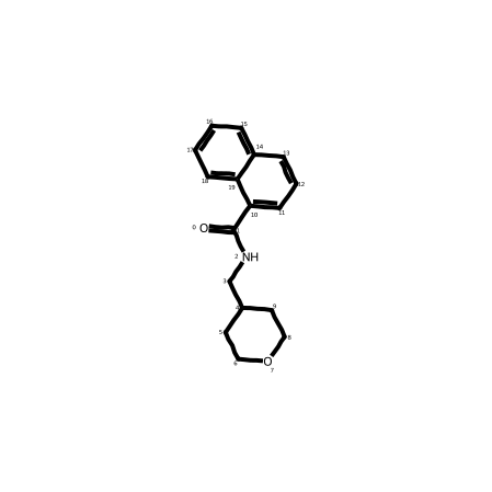 O=C(NCC1CCOCC1)c1cccc2ccccc12